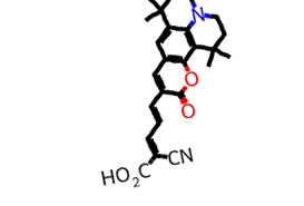 CC1(C)CCN2CCC(C)(C)c3c2c1cc1cc(/C=C/C=C(\C#N)C(=O)O)c(=O)oc31